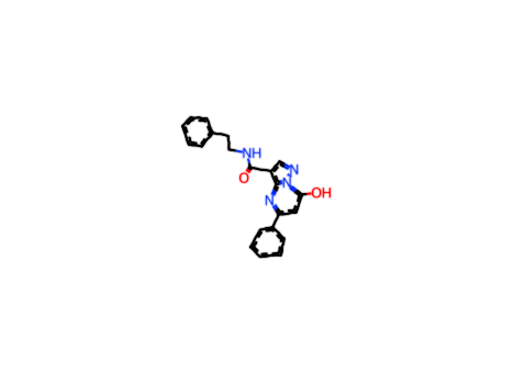 O=C(NCCc1ccccc1)c1cnn2c(O)cc(-c3ccccc3)nc12